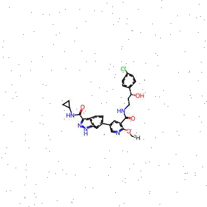 [2H]COc1ncc(-c2ccc3c(C(=O)NC4CC4)n[nH]c3c2)cc1C(=O)NCC[C@H](O)c1ccc(Cl)cc1